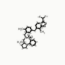 Cc1ccc(Cc2ccn3c(C(F)F)nnc3c2C)cc1CN1C[C@]2(C)CCCN2c2ncccc2S1(=O)=O